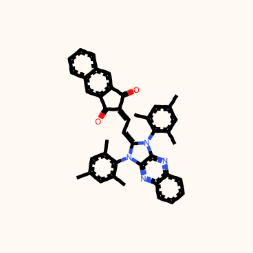 Cc1cc(C)c(N2C(=CC=C3C(=O)c4cc5ccccc5cc4C3=O)N(c3c(C)cc(C)cc3C)c3nc4ccccc4nc32)c(C)c1